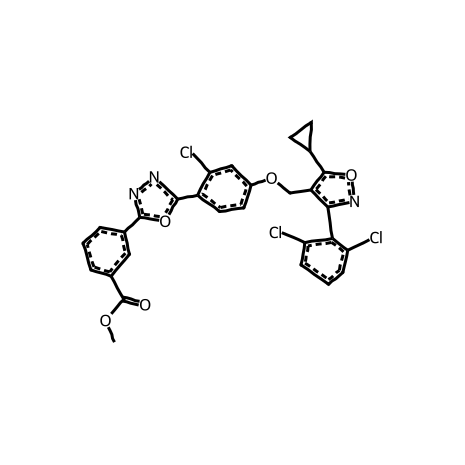 COC(=O)c1cccc(-c2nnc(-c3ccc(OCc4c(-c5c(Cl)cccc5Cl)noc4C4CC4)cc3Cl)o2)c1